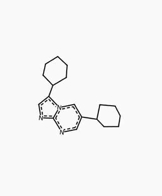 c1nc2ncc(C3CCCCC3)n2cc1C1CCCCC1